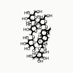 C=C1C[C@@]23CC[C@H]4[C@@](C)(CCC[C@@]4(C)C(=O)O[C@@H]4OC(CO)[C@@H](O)C(O)C4O)[C@@H]2CC[C@]1(O[C@@H]1OC(CO)[C@@H](O)C(O[C@@H]2OC(CO)[C@@H](O)C(O)[C@@H]2O)C1O[C@@H]1OC(CO[C@H]2OC(CO)[C@@H](O)C(O)C2O)[C@@H](O)C(O)C1O)C3